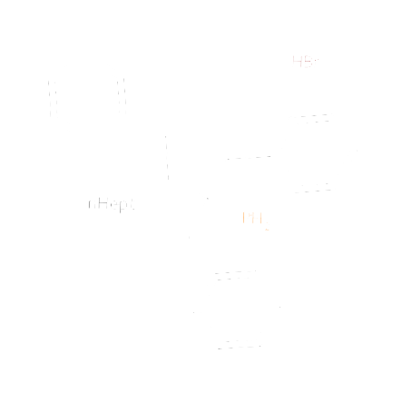 Br.CCCCCCCC(Cc1ccccc1)C(P)(Cc1ccccc1)Cc1ccccc1